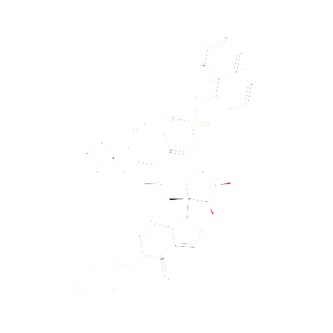 CN=C[C@@]1(c2ccc3c(=N)n(COP(=O)(O)O)cnn23)O[C@H](COP(=O)(N[C@@H](C)C(=O)OC2CC3(CCC3)C2)Oc2cccc3ccccc23)[C@@H](O)[C@H]1O